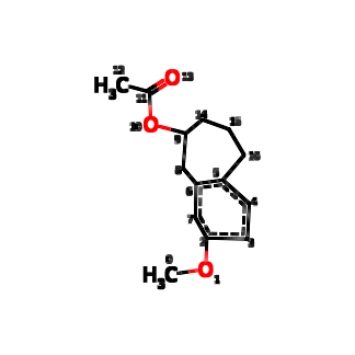 COc1ccc2c(c1)CC(OC(C)=O)CCC2